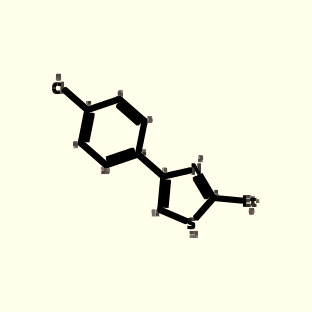 C[CH]c1nc(-c2ccc(Cl)cc2)cs1